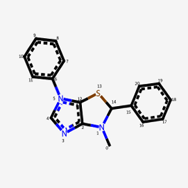 CN1c2ncn(-c3ccccc3)c2SC1c1ccccc1